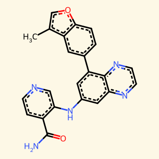 Cc1coc2ccc(-c3cc(Nc4cnccc4C(N)=O)cc4nccnc34)cc12